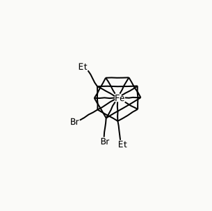 CC[C]12[CH]3[CH]4[C]5(CC)[C]1(Br)[Fe]34251678[CH]2[CH]1[CH]6[C]7(Br)[CH]28